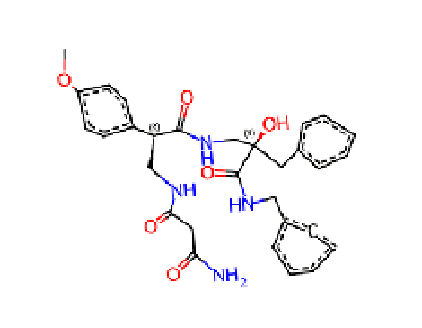 COc1ccc([C@H](CNC(=O)CC(N)=O)C(=O)NC[C@](O)(Cc2ccccc2)C(=O)NCc2ccccc2)cc1